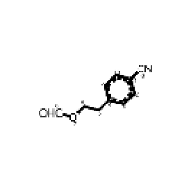 N#Cc1ccc(CCOC=O)cc1